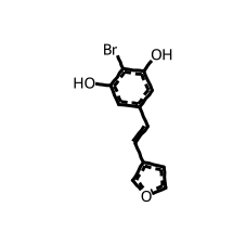 Oc1cc(/C=C/c2ccoc2)cc(O)c1Br